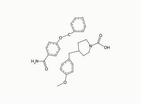 COc1ccc(CC2CCN(C(=O)O)CC2)cc1.NC(=O)c1ccc(OCc2ccccc2)cc1